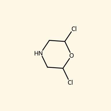 ClC1CNCC(Cl)O1